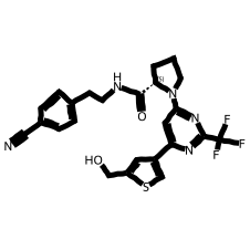 N#Cc1ccc(CCNC(=O)[C@@H]2CCCN2c2cc(-c3csc(CO)c3)nc(C(F)(F)F)n2)cc1